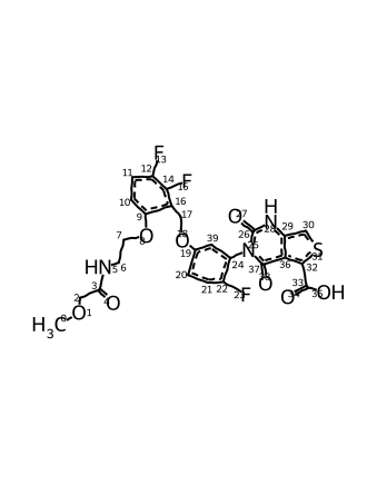 COCC(=O)NCCOc1ccc(F)c(F)c1COc1ccc(F)c(-n2c(=O)[nH]c3csc(C(=O)O)c3c2=O)c1